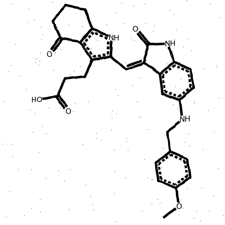 COc1ccc(CNc2ccc3c(c2)C(=Cc2[nH]c4c(c2CCC(=O)O)C(=O)CCC4)C(=O)N3)cc1